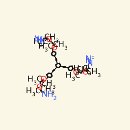 CC(C)(CCN)OCCC(C)(C)OCc1ccc(C#Cc2cc(C#Cc3ccc(COC(C)(C)CCOC(C)(C)CCN=[N+]=[N-])cc3)cc(C#Cc3ccc(COC(C)(C)CCOC(C)(C)CN=[N+]=[N-])cc3)c2)cc1